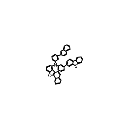 c1cc(-c2ccc3ccccc3c2)cc(N(c2cccc(-c3ccc4c(c3)sc3ccccc34)c2)c2cccc3oc4c5ccccc5ccc4c23)c1